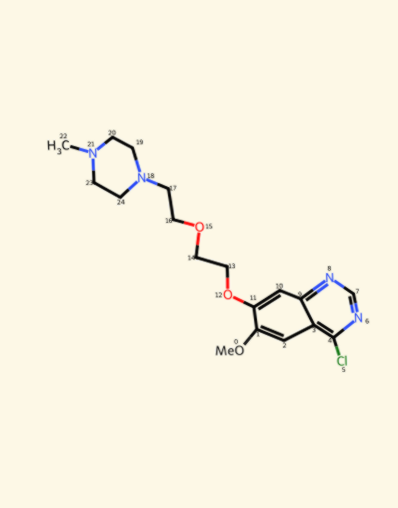 COc1cc2c(Cl)ncnc2cc1OCCOCCN1CCN(C)CC1